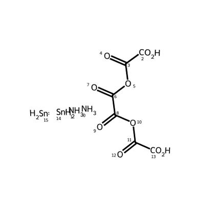 N.N.O=C(O)C(=O)OC(=O)C(=O)OC(=O)C(=O)O.[SnH2].[SnH2]